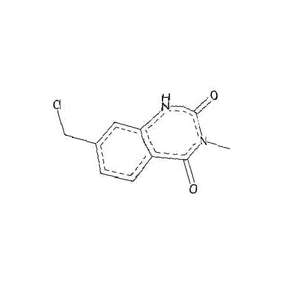 Cn1c(=O)[nH]c2cc(CCl)ccc2c1=O